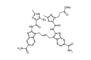 CCc1nc(C)oc1C(=O)Nc1nc2cc(C(N)=O)ccc2n1C/C=C/Cn1c(NC(=O)c2cc(C)nn2CCC(=O)OC)nc2cc(C(N)=O)ccc21